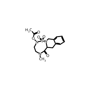 CC(=O)ON1CCN(C)C(=O)C2Cc3ccccc3CN2S1(=O)=O